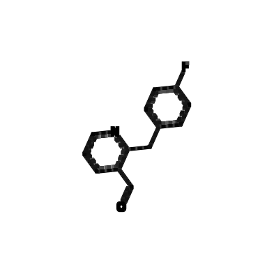 O=Cc1cccnc1Cc1ccc(F)cc1